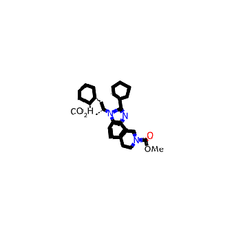 COC(=O)N1CCc2ccc3c(nc(C4CCCCC4)n3[C@H](C)C[C@H]3CCCC[C@H]3C(=O)O)c2C1